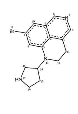 Brc1cc2c3c(cncc3c1)CCN2C1CCNC1